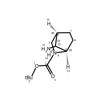 CC(C)(C)OC(=O)N1C[C@H]2CC[C@@H]1[C@H]2N